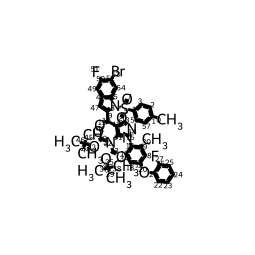 Cc1ccc(S(=O)(=O)n2c(C(=O)c3cnn(-c4ccc(Oc5ccccc5F)cc4C)c3N(C(=O)OC(C)(C)C)C(=O)OC(C)(C)C)cc3cc(F)c(Br)cc32)cc1